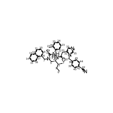 CC[C@H](C)[C@@H](CN(Cc1cccc2ccccc12)C(=S)Nc1ccccc1C)NC(=O)Cc1cncn1Cc1ccc(C#N)cc1